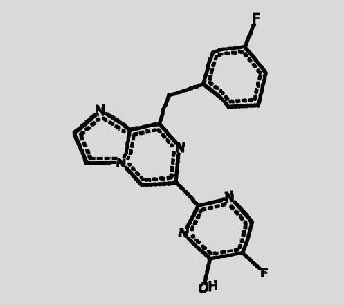 Oc1nc(-c2cn3ccnc3c(Cc3cccc(F)c3)n2)ncc1F